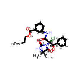 CCCCCCCCCCCCOC(=O)c1cccc(NC(=O)C(Cl)(C(=O)c2ccccc2)N2C(=O)NC(C)(C)C2=O)c1